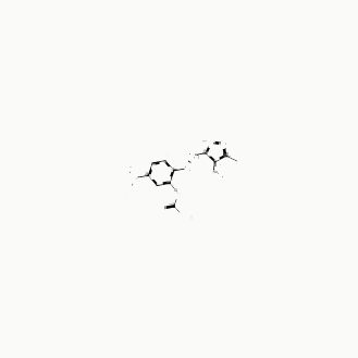 CCN(CC)c1ccc(/N=N/c2snc(C)c2C#N)c(NC(=O)C(C)(C)C)c1